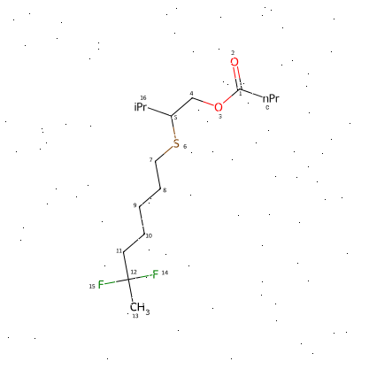 CCCC(=O)OCC(SCCCCCC(C)(F)F)C(C)C